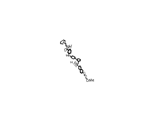 COCCOCOc1ccc2cc(C(=O)N(C)Cc3cccc(-c4ccc(Nc5cccc(C(=O)NCCN6CCCCC6)c5)cc4)c3)ccc2c1